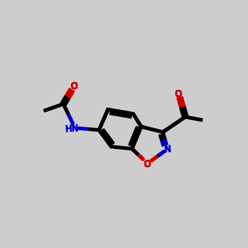 CC(=O)Nc1ccc2c(C(C)=O)noc2c1